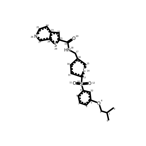 CC(C)COc1cccc(S(=O)(=O)c2ccc(CNC(=O)c3cc4ccncc4s3)cc2)c1